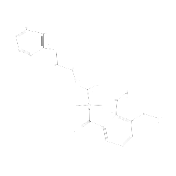 CC(C)Cc1cccc(C(=O)[N+](C)(C)C(C)OCCOc2ccccc2)c1CC(C)C.[Cl-]